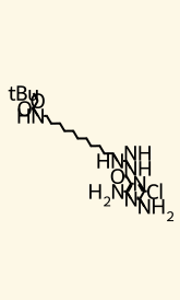 CC(C)(C)OC(=O)NCCCCCCCCCCCNC(=N)NC(=O)c1nc(Cl)c(N)nc1N